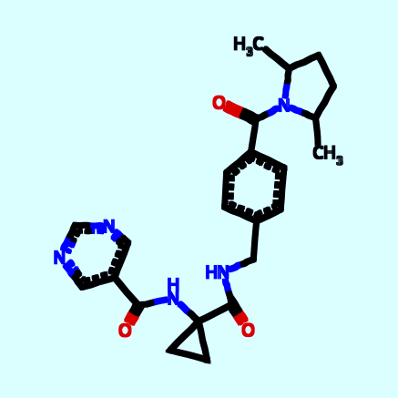 CC1CCC(C)N1C(=O)c1ccc(CNC(=O)C2(NC(=O)c3cncnc3)CC2)cc1